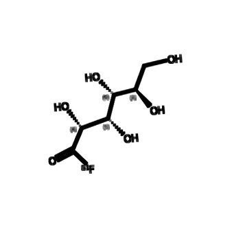 O=C([81F])[C@H](O)[C@@H](O)[C@H](O)[C@H](O)CO